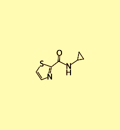 O=C(NC1CC1)c1nccs1